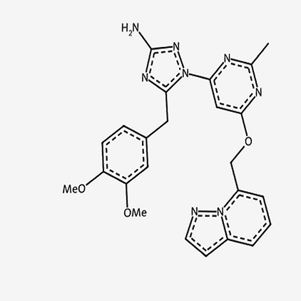 COc1ccc(Cc2nc(N)nn2-c2cc(OCc3cccc4ccnn34)nc(C)n2)cc1OC